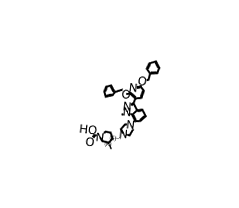 C[C@H]1CN(C(=O)O)CC[C@@H]1CN1CCN(c2cccc3c(-c4ccc(OCc5ccccc5)nc4OCc4ccccc4)nn(C)c23)CC1